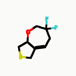 FC1(F)CC=C2CSCC2OC1